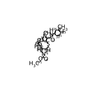 CCOC(=O)N1C[C@H]2CSc3c(cn(C)c3C(=O)Nc3ccc(F)c(C)c3)S(=O)(=O)N[C@H]2C1